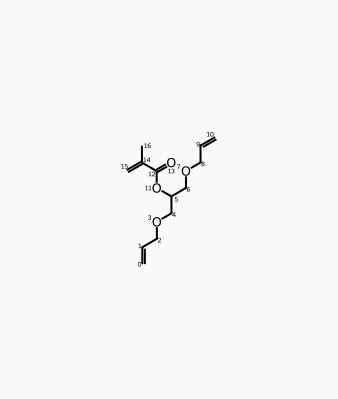 C=CCOCC(COCC=C)OC(=O)C(=C)C